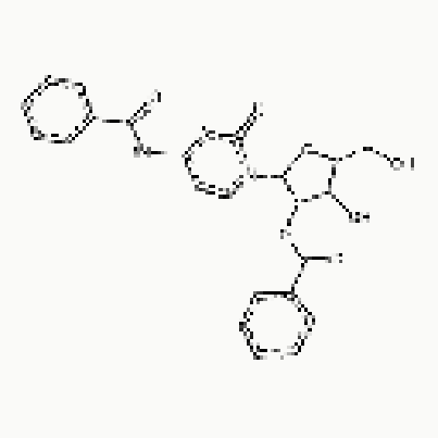 O=C(Nc1ccn(C2OC(CO)C(O)C2OC(=O)c2ccccc2)c(=O)n1)c1ccccc1